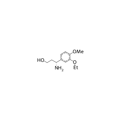 CCOc1cc([C@H](N)CCO)ccc1OC